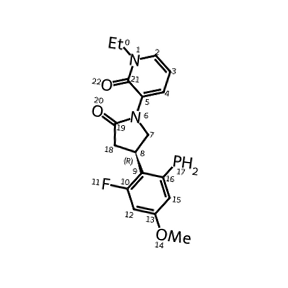 CCn1cccc(N2C[C@@H](c3c(F)cc(OC)cc3P)CC2=O)c1=O